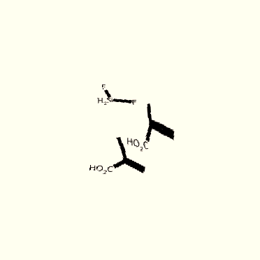 C=C(C)C(=O)O.C=C(C)C(=O)O.F[SiH2]F